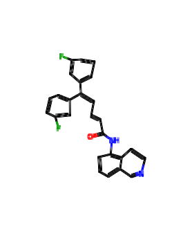 O=C(/C=C/C=C(c1cccc(F)c1)c1cccc(F)c1)Nc1cccc2cnccc12